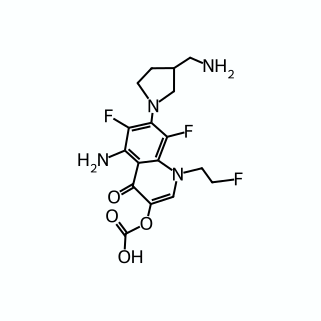 NCC1CCN(c2c(F)c(N)c3c(=O)c(OC(=O)O)cn(CCF)c3c2F)C1